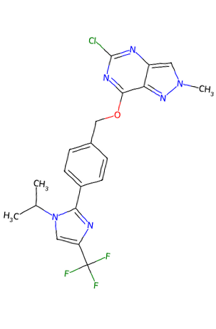 CC(C)n1cc(C(F)(F)F)nc1-c1ccc(COc2nc(Cl)nc3cn(C)nc23)cc1